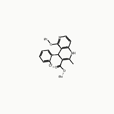 CC[C@@H](C)OC(=O)C1=C(C)Nc2ccnc(OC(C)C)c2C1c1ccccc1C(F)(F)F